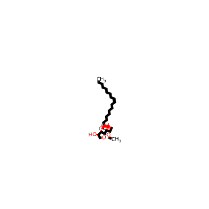 CCCCCCCC/C=C\CCCCCCCC(=O)O[C@@H]1[C@@H](O)CO[C@]1(OCC)[C@]1(CO)CCO1